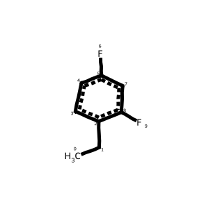 CCc1[c]cc(F)cc1F